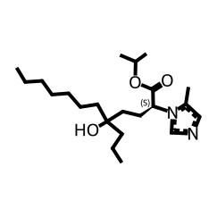 CCCCCCCC(O)(CCC)CC[C@@H](C(=O)OC(C)C)n1cncc1C